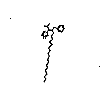 CCCCCCCCCCCCCCCCCCC(Cc1ccccc1)C(C(C)C)n1ccnc1